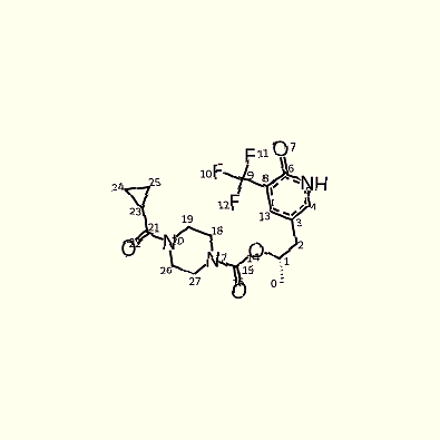 C[C@@H](Cc1c[nH]c(=O)c(C(F)(F)F)c1)OC(=O)N1CCN(C(=O)C2CC2)CC1